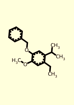 CCc1cc(OC)c(OCc2ccccc2)cc1C(C)C